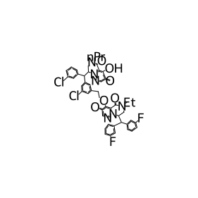 CCCN1CC(C(c2cccc(Cl)c2)c2cc(Cl)cc(CCOc3c4n(ncc3=O)C(C(c3cccc(F)c3)c3cccc(F)c3)CN(CC)C4=O)c2)n2ncc(=O)c(O)c2C1=O